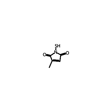 CC1=CC(=O)N(S)C1=O